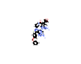 C[C@](C=C(C#N)C(=O)N1CCCC(n2nc(-c3ccc(Oc4ccccc4)cc3F)c3c(N)ncnc32)C1)(CN)C1COC1